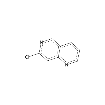 Clc1cc2ncccc2cn1